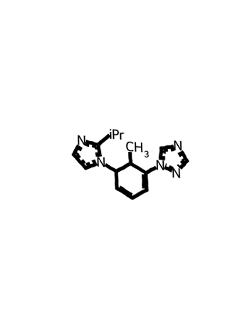 CC(C)c1nccn1C1C=CC=C(n2cncn2)C1C